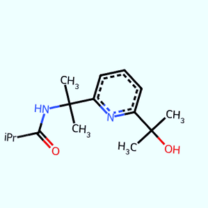 CC(C)C(=O)NC(C)(C)c1cccc(C(C)(C)O)n1